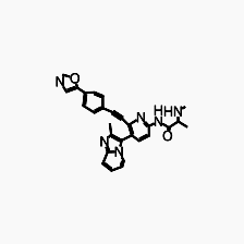 CNC(C)C(=O)Nc1ccc(-c2c(C)nc3ccccn23)c(C#Cc2ccc(-c3cnco3)cc2)n1